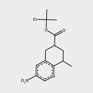 CCC(C)(C)OC(=O)N1Cc2cc([N+](=O)[O-])cnc2C(C)C1